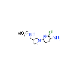 Nc1ccc(N2CCC(CNC(=O)O)C2)nc1Cl